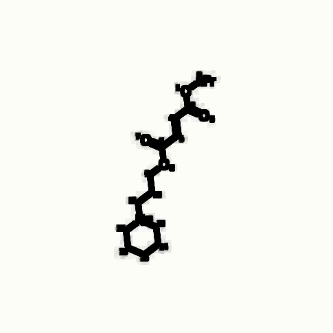 CCCOC(=O)/C=C/C(=O)OCCCN1CCCCC1